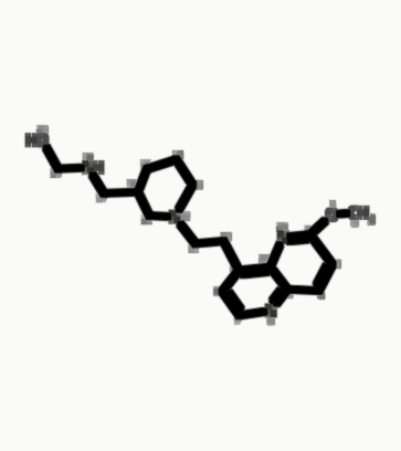 COc1ccc2nccc(CCN3CCCC(CNCO)C3)c2n1